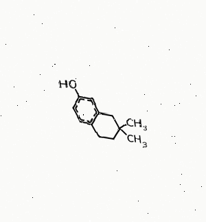 CC1(C)CCc2ccc(O)cc2C1